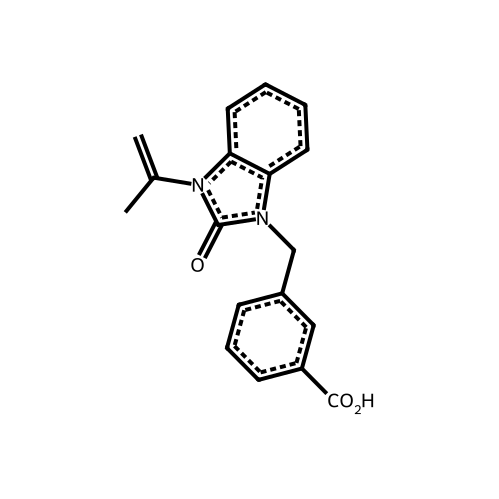 C=C(C)n1c(=O)n(Cc2cccc(C(=O)O)c2)c2ccccc21